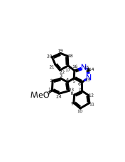 COc1ccc(-c2c(-c3ccccc3)ncnc2-c2ccccc2)cc1